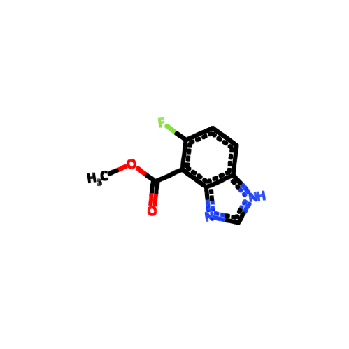 COC(=O)c1c(F)ccc2[nH]cnc12